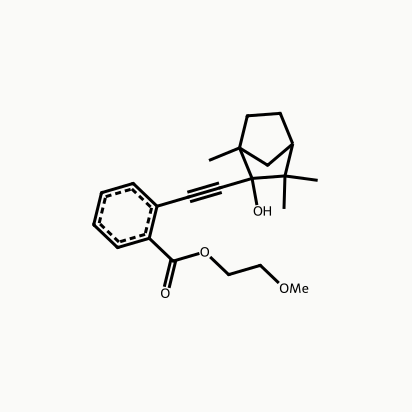 COCCOC(=O)c1ccccc1C#CC1(O)C2(C)CCC(C2)C1(C)C